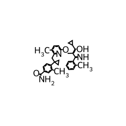 Cc1ccccc1C(=N)/C(COc1ccc(C)c(CC2(c3ccc(C(N)=O)cc3C)CC2)n1)=C(\O)C1CC1